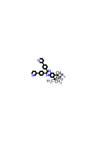 CC(C)(C)c1cc2nc(-c3ccc(-c4cccnc4)cc3)c(-c3ccc(-c4cccnc4)cc3)nc2cc1C(C)(C)C